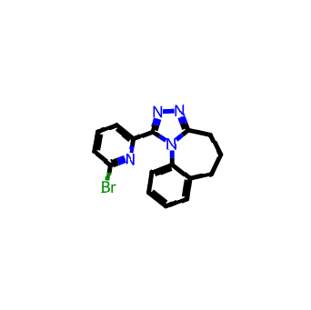 Brc1cccc(-c2nnc3n2-c2ccccc2CCC3)n1